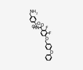 NCc1ccc(S(=O)(=O)NC(=O)c2ccc(OCc3ccc(Oc4ccccc4)cc3)c(F)c2F)cc1